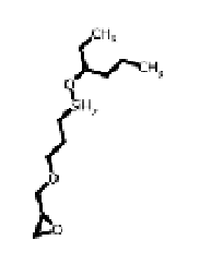 CCCC(CC)O[SiH2]CCCOCC1CO1